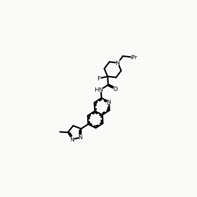 CC1=NN=C(c2ccc3cnc(NC(=O)C4(F)CCN(CC(C)C)CC4)cc3c2)C1